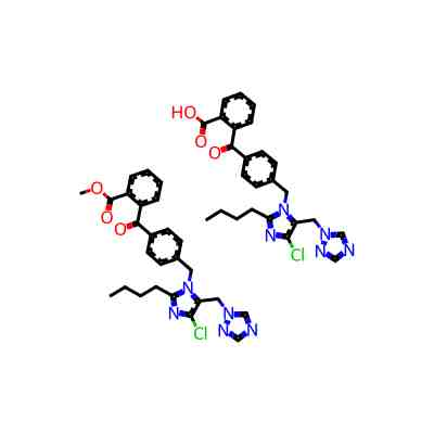 CCCCc1nc(Cl)c(Cn2cncn2)n1Cc1ccc(C(=O)c2ccccc2C(=O)O)cc1.CCCCc1nc(Cl)c(Cn2cncn2)n1Cc1ccc(C(=O)c2ccccc2C(=O)OC)cc1